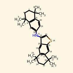 CC1(C)CCC(C)(C)c2cc(Nc3csc4cc5c(cc34)C(C)(C)CCC5(C)C)ccc21